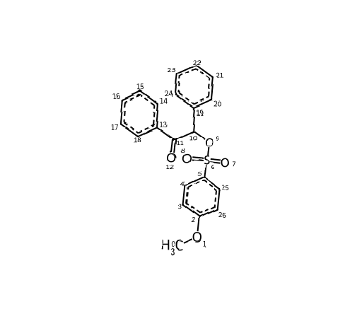 COc1ccc(S(=O)(=O)OC(C(=O)c2ccccc2)c2ccccc2)cc1